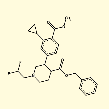 COC(=O)c1ccc(C2CN(CC(F)F)CCN2C(=O)OCc2ccccc2)cc1C1CC1